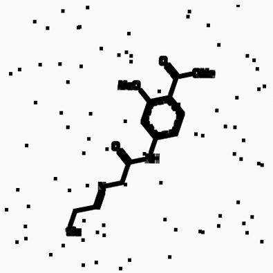 COC(=O)c1ccc(NC(=O)CN=CCC(C)(C)C)cc1OC